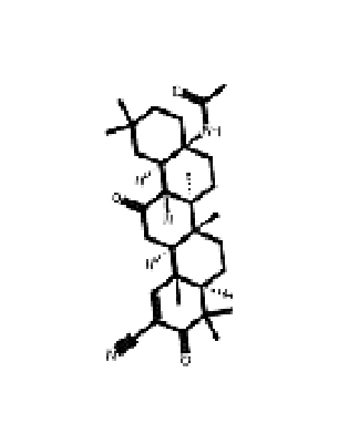 CC(=O)N[C@]12CCC(C)(C)C[C@@H]1[C@H]1C(=O)C[C@@H]3[C@@]4(C)C=C(C#N)C(=O)C(C)(C)[C@@H]4CC[C@@]3(C)[C@]1(C)CC2